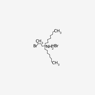 Br.CCCCCCCCC(N)(CCCCCCCC)CCC(C)Br